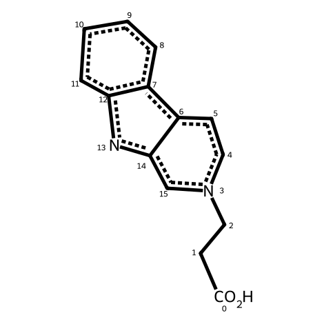 O=C(O)CCn1ccc2c3ccccc3nc-2c1